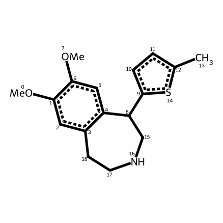 COc1cc2c(cc1OC)C(c1ccc(C)s1)CNCC2